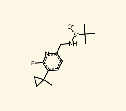 CC1(c2ccc(CN[S+]([O-])C(C)(C)C)nc2F)CC1